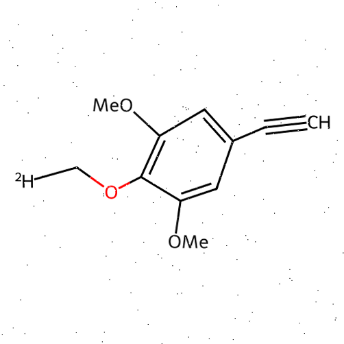 [2H]COc1c(OC)cc(C#C)cc1OC